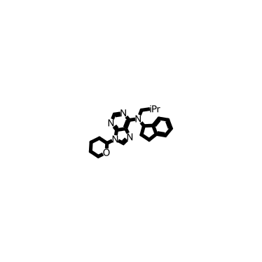 CC(C)CN(c1ncnc2c1ncn2C1CCCCO1)C1CCc2ccccc21